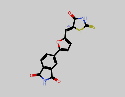 O=C1NC(=S)S/C1=C\c1ccc(-c2ccc3c(c2)C(=O)NC3=O)o1